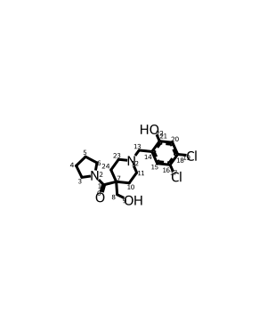 O=C(N1CCCC1)C1(CO)CCN(Cc2cc(Cl)c(Cl)cc2O)CC1